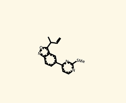 C=CC(C)c1onc2ccc(-c3ccnc(SC)n3)cc12